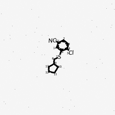 N#Cc1ccc(Cl)c(SCC2CCCC2)c1